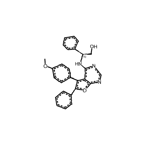 COc1ccc(-c2c(-c3ccccc3)oc3ncnc(N[C@H](CO)c4ccccc4)c23)cc1